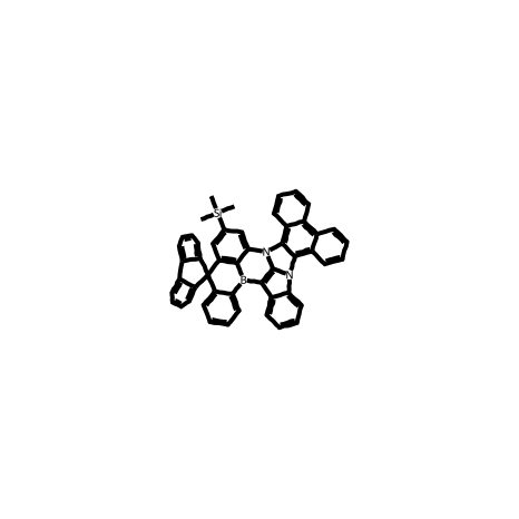 C[Si](C)(C)c1cc2c3c(c1)C1(c4ccccc4B3c3c4ccccc4n4c5c6ccccc6c6ccccc6c5n-2c34)c2ccccc2-c2ccccc21